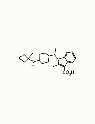 Cc1c(C(=O)O)c2ccccc2n1C(C)C1CCC(NC2(C)COC2)CC1